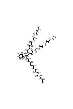 CCCCCCCCCCCCCCCCCC(CCCCCCCCCCCCCCC)(CCCCCCCCCCCCCCC)[n+]1ccccc1